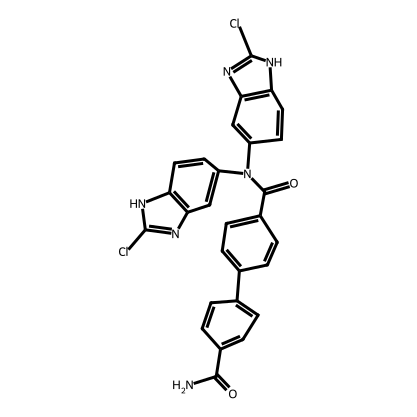 NC(=O)c1ccc(-c2ccc(C(=O)N(c3ccc4[nH]c(Cl)nc4c3)c3ccc4[nH]c(Cl)nc4c3)cc2)cc1